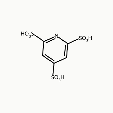 O=S(=O)(O)c1cc(S(=O)(=O)O)nc(S(=O)(=O)O)c1